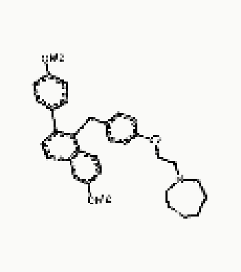 COc1ccc(-c2ccc3cc(OC)ccc3c2Cc2ccc(OCCN3CCCCCC3)cc2)cc1